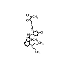 CCCN(CCC)c1cccc2nc(Nc3ccc(Cl)cc3OCCCC(=O)N(C)C)n(C)c12